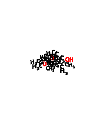 C=C(C(C)(C)O)[Si](C)(CC)[C@](C)(CC)O[Si](C)(C)C(CC)(CC)O[Si](C)(C)C